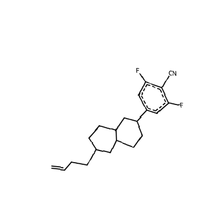 C=CCCC1CCC2CC(c3cc(F)c(C#N)c(F)c3)CCC2C1